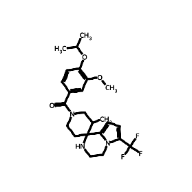 COc1cc(C(=O)N2CCC3(NCCn4c(C(F)(F)F)ccc43)C(C)C2)ccc1OC(C)C